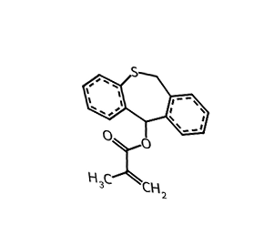 C=C(C)C(=O)OC1c2ccccc2CSc2ccccc21